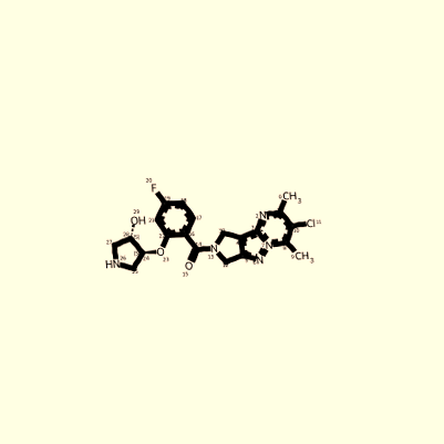 Cc1nc2c3c(nn2c(C)c1Cl)CN(C(=O)c1ccc(F)cc1O[C@H]1CNC[C@@H]1O)C3